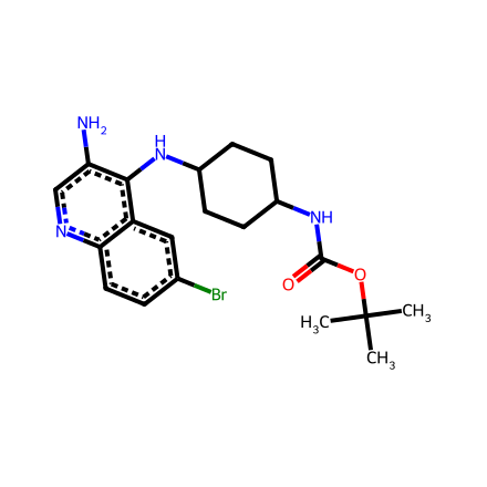 CC(C)(C)OC(=O)NC1CCC(Nc2c(N)cnc3ccc(Br)cc23)CC1